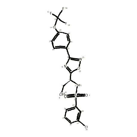 O=S(=O)(N[C@@H](CO)c1nc(-c2ccc(OC(F)(F)F)cc2)no1)c1cccc(Cl)c1